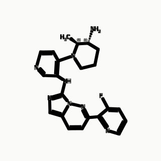 C[C@H]1[C@H](N)CCCN1c1ccncc1Nc1ncc2ccc(-c3ncccc3F)nn12